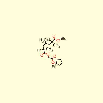 CCCCOC(=O)C(C)(CC)CC(C)CC(C)(C(=O)OCC(=O)OC1(CC)CCCC1)C(C)C